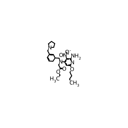 CCCCOc1cc(N(CC(=O)OCC)CC2C=C(CN3CCCC3)C=CC2)c([N+](=O)[O-])c(N)n1